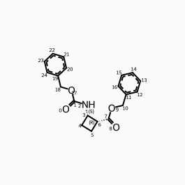 O=C(N[C@H]1CC[C@H]1C(=O)OCc1ccccc1)OCc1ccccc1